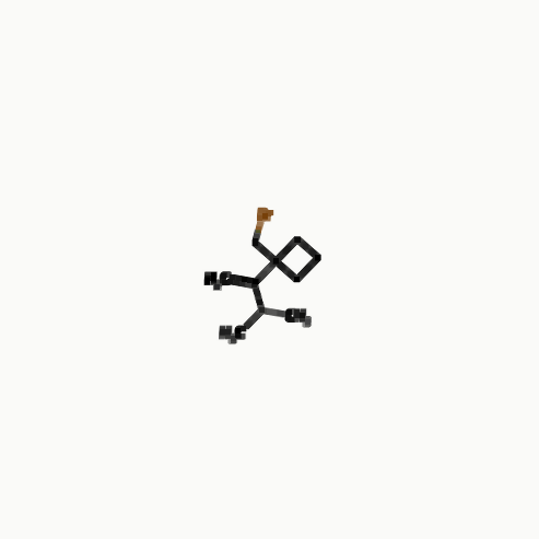 C=C(C(C)C)C1(CBr)CCC1